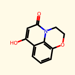 O=c1cc(O)c2cccc3c2n1CCO3